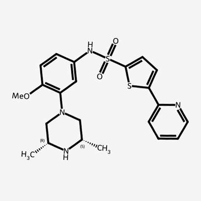 COc1ccc(NS(=O)(=O)c2ccc(-c3ccccn3)s2)cc1N1C[C@@H](C)N[C@@H](C)C1